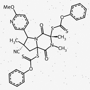 COc1ccc(C2N3C(=O)[C@](C)(SC(=S)Oc4ccccc4)N(C)C(=O)C3(SC(=S)Oc3ccccc3)C[C@]2(C)C#N)cn1